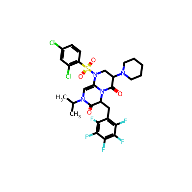 CC(C)N1C=C2N(C(=O)C(N3CCCCC3)CN2S(=O)(=O)c2ccc(Cl)cc2Cl)C(Cc2c(F)c(F)c(F)c(F)c2F)C1=O